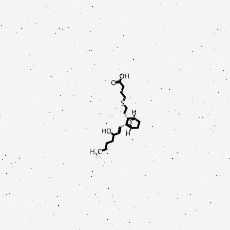 CCCCC(O)/C=C/[C@@H]1[C@H](CCSCCCC(=O)O)[C@@H]2CC[C@H]1O2